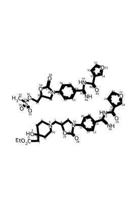 CCOC(=O)CC1(O)CCN(CC2CN(c3ccc(C(=N)NC(=O)c4ccoc4)cc3)C(=O)O2)CC1.CS(=O)(=O)OCC1CN(c2ccc(C(=N)NC(=O)c3ccoc3)cc2)C(=O)O1